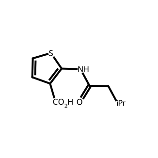 CC(C)CC(=O)Nc1sccc1C(=O)O